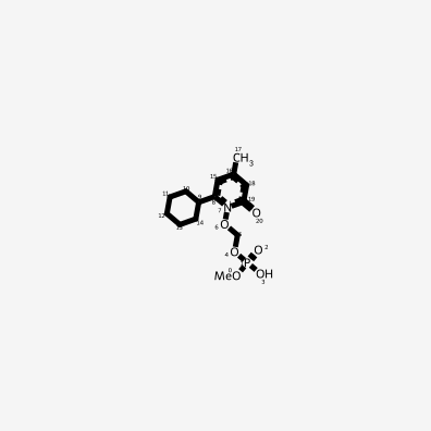 COP(=O)(O)OCOn1c(C2CCCCC2)cc(C)cc1=O